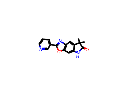 CC1(C)C(=O)Nc2cc3oc(-c4cccnc4)nc3cc21